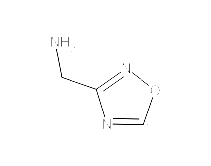 NCc1n[c]on1